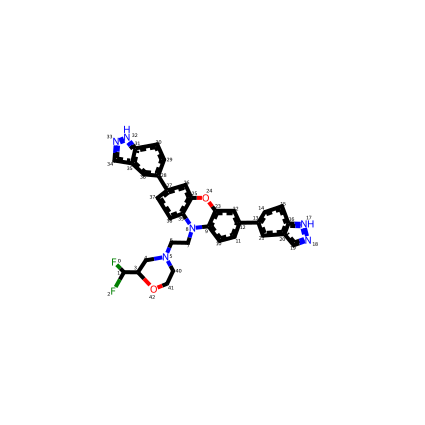 FC(F)C1CN(CCN2c3ccc(-c4ccc5[nH]ncc5c4)cc3Oc3cc(-c4ccc5[nH]ncc5c4)ccc32)CCO1